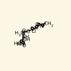 CCc1ccnc(N2CCOC3(CCN(Cc4cccc(CCOCCC(=O)N(C)CCNC[C@H](O)c5ccc(O)c6[nH]c(=O)ccc56)c4Cl)CC3)C2)c1